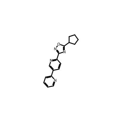 c1ccc(-c2ccc(-c3noc(C4CCCC4)n3)nc2)nc1